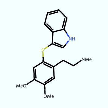 CNCCc1cc(OC)c(OC)cc1Sc1c[nH]c2ccccc12